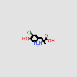 CC(N)(Cc1ccc(O)c(Cl)c1)C(=O)O